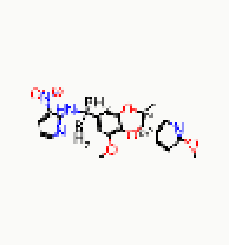 BC(B)(Nc1ncccc1[N+](=O)[O-])c1cc(OC)c2c(c1)O[C@@H](C)[C@H](c1ccc(OC)nc1)O2